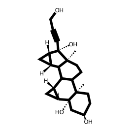 C[C@]12CCC3C(C1[C@@H]1C[C@@H]1[C@@]2(O)C#CCO)[C@H]1C[C@H]1[C@]1(O)C[C@@H](O)CC[C@]31C